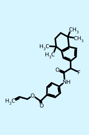 C=CCOC(=O)c1ccc(NC(=O)C(F)c2ccc3c(c2)C(C)(C)CCC3(C)C)cc1